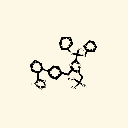 CC(C)(C)Cn1nc(C(C)(Oc2ccccc2)Oc2ccccc2)nc1Cc1ccc(-c2ccccc2-c2nnn[nH]2)cc1